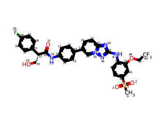 CS(=O)(=O)c1ccc(Nc2nc3ccc(-c4ccc(NC(=O)[C@H](CO)c5ccc(F)cc5)cc4)cn3n2)c(OCC(F)(F)F)c1